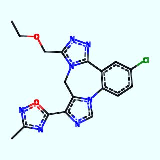 CCOCc1nnc2n1Cc1c(-c3nc(C)no3)ncn1-c1ccc(Cl)cc1-2